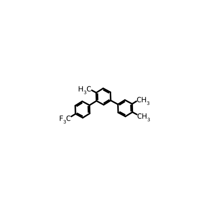 Cc1ccc(-c2ccc(C)c(-c3ccc(C(F)(F)F)cc3)c2)cc1C